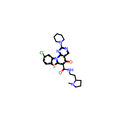 CN1CCCC1CCNC(=O)c1c(=O)c2cnc(N3CCCCC3)nc2n2c1sc1ccc(Cl)cc12